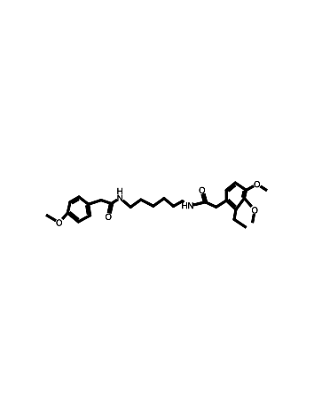 CCc1c(CC(=O)NCCCCCCNC(=O)Cc2ccc(OC)cc2)ccc(OC)c1OC